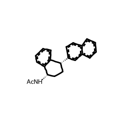 CC(=O)N[C@H]1CC[C@@H](c2ccc3ccccc3c2)c2ccccc21